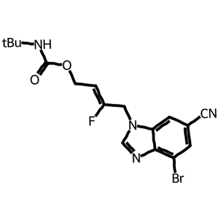 CC(C)(C)NC(=O)OC/C=C(\F)Cn1cnc2c(Br)cc(C#N)cc21